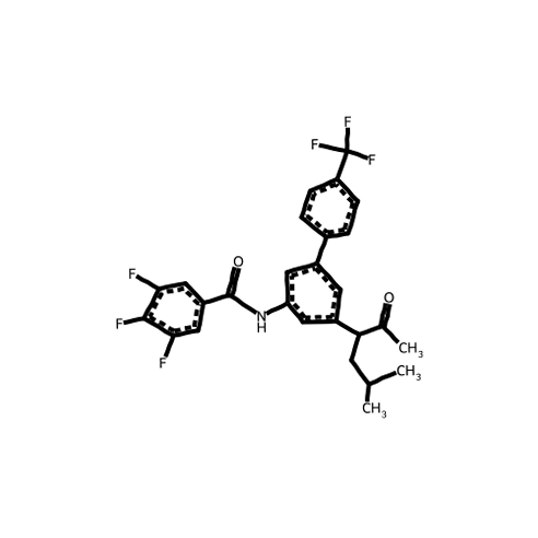 CC(=O)C(CC(C)C)c1cc(NC(=O)c2cc(F)c(F)c(F)c2)cc(-c2ccc(C(F)(F)F)cc2)c1